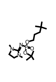 CN1CCN(C)C1=NP(=O)(OCCCC(C)(C)C)OC(C)(C)C